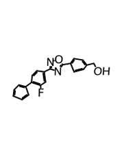 OCc1ccc(-c2nc(-c3ccc(-c4ccccc4)c(F)c3)no2)cc1